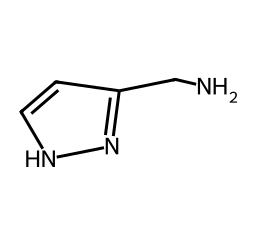 NCc1cc[nH]n1